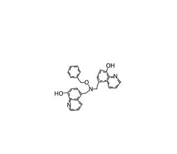 Oc1ccc(CN(Cc2ccc(O)c3ncccc23)OCc2ccccc2)c2cccnc12